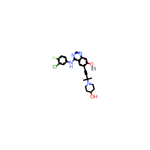 CCOc1cc2ncnc(Nc3ccc(F)c(Cl)c3)c2cc1C#CC(C)(C)N1CCC(O)CC1